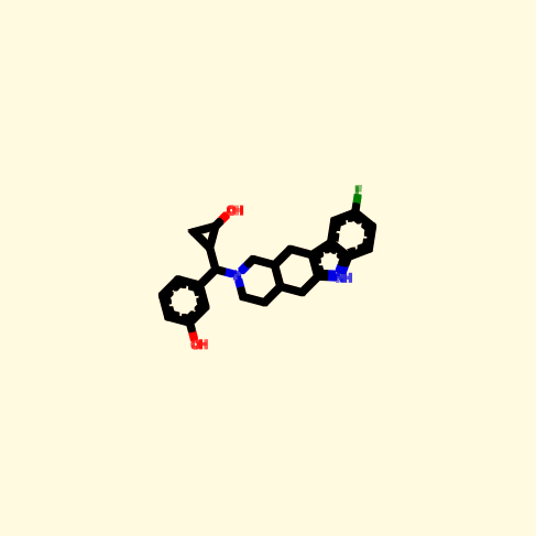 Oc1cccc(C(C2CC2O)N2CCC3Cc4[nH]c5ccc(F)cc5c4CC3C2)c1